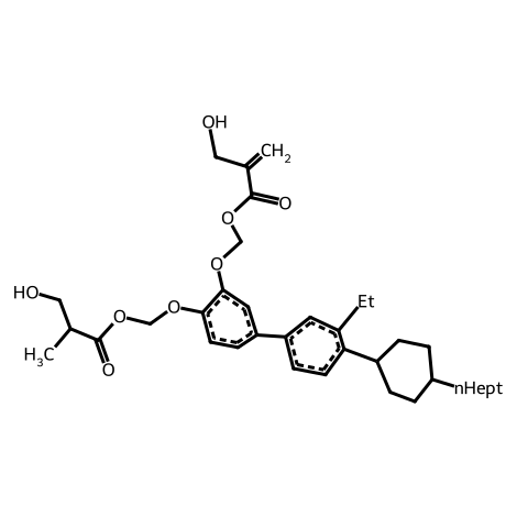 C=C(CO)C(=O)OCOc1cc(-c2ccc(C3CCC(CCCCCCC)CC3)c(CC)c2)ccc1OCOC(=O)C(C)CO